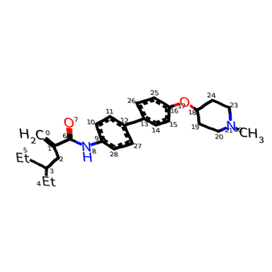 C=C(CC(CC)CC)C(=O)Nc1ccc(-c2ccc(OC3CCN(C)CC3)cc2)cc1